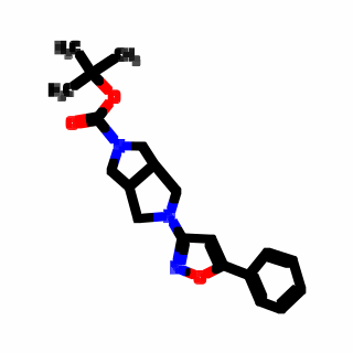 CC(C)(C)OC(=O)N1CC2CN(c3cc(-c4ccccc4)on3)CC2C1